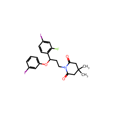 CC1(C)CC(=O)N(CCC(Oc2cccc(I)c2)c2ccc(I)cc2F)C(=O)C1